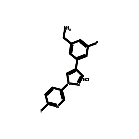 Cl.NCc1cc(F)cc(-c2cnn(-c3ccc(I)nc3)c2)c1